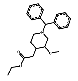 CCOC(=O)CC1CCN(C(c2ccccc2)c2ccccc2)CC1OC